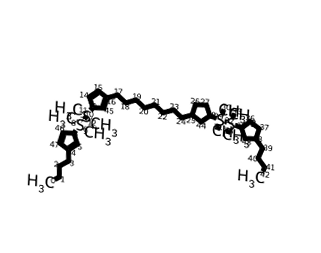 CCCCC1=CC(S(C)(C)S(C)(C)C2C=CC(CCCCCCCCC3CCC(S(C)(C)S(C)(C)C4CCC(CCCC)C4)C3)=C2)C=C1